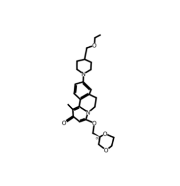 CCOCC1CCN(c2ccc3c(c2)CCn2c(OC[C@@H]4COCCO4)cc(=O)c(C)c2-3)CC1